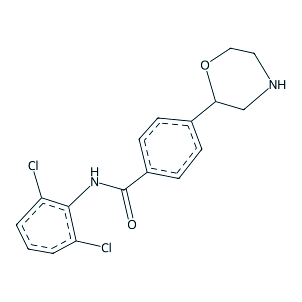 O=C(Nc1c(Cl)cccc1Cl)c1ccc(C2CNCCO2)cc1